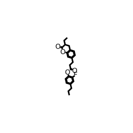 CCCc1ccc(OC(=O)CCc2ccc3c(c2)OC(=O)C(CC)C3)c(F)c1